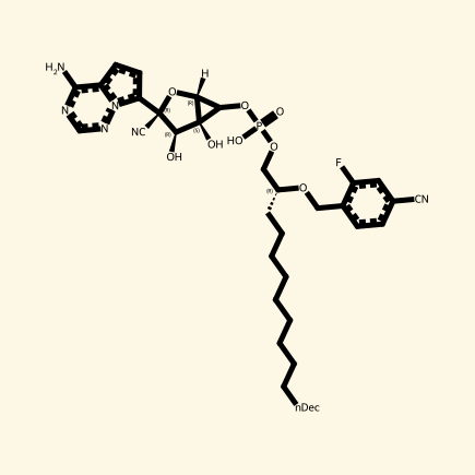 CCCCCCCCCCCCCCCCCCC[C@H](COP(=O)(O)OC1[C@H]2O[C@@](C#N)(c3ccc4c(N)ncnn34)[C@H](O)[C@@]12O)OCc1ccc(C#N)cc1F